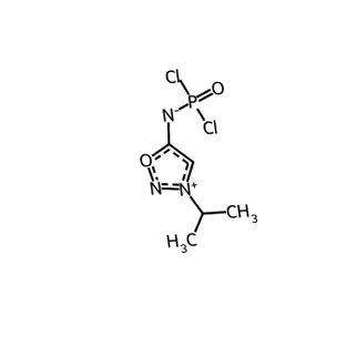 CC(C)[n+]1cc([N-]P(=O)(Cl)Cl)on1